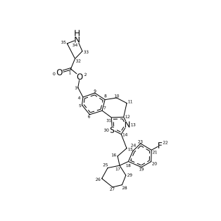 O=C(OCc1ccc2c(c1)CCc1nc(CCC3(c4ccc(F)cc4)CCCCC3)sc1-2)C1CNC1